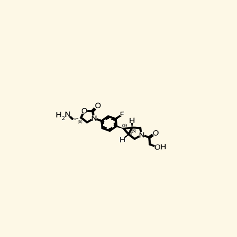 NC[C@H]1CN(c2ccc([C@H]3[C@@H]4CN(C(=O)CO)C[C@@H]43)c(F)c2)C(=O)O1